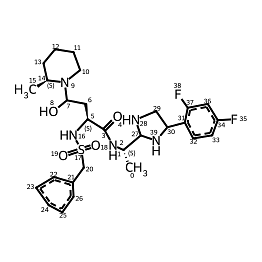 C[C@H](NC(=O)[C@H](CC(O)N1CCCC[C@@H]1C)NS(=O)(=O)Cc1ccccc1)C1NCC(c2ccc(F)cc2F)N1